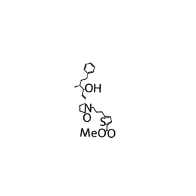 COC(=O)c1ccc(CCCN2C(=O)CC[C@@H]2/C=C/[C@@H](O)[C@@H](C)CCc2ccccc2)s1